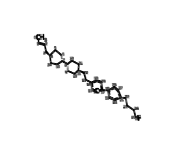 CC=CC[C@H]1CC[C@H]([C@H]2CC[C@H](CCc3ccc(-c4ccc(CCCCF)cc4)cc3)CC2)CC1